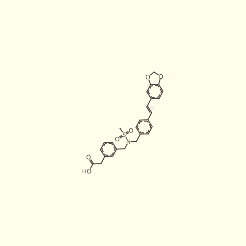 CS(=O)(=O)N(Cc1ccc(/C=C/c2ccc3c(c2)OCO3)cc1)Cc1cccc(CC(=O)O)c1